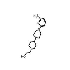 Bc1cccc(N2CCC(C3CCN(CCO)CC3)CC2)n1